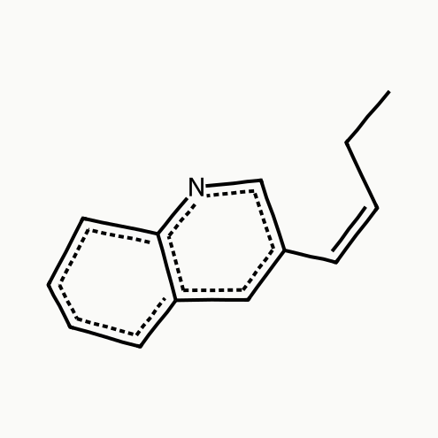 CC/C=C\c1cnc2ccccc2c1